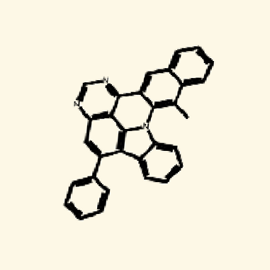 Cc1c2ccccc2cc2c3ncnc4cc(-c5ccccc5)c5c6ccccc6n(c12)c5c43